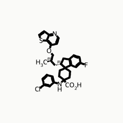 C[C@@H](COc1ccnc2ccsc12)C[C@@H]1Cc2ccc(F)cc2C12CCC(Nc1cccc(Cl)c1)(C(=O)O)CC2